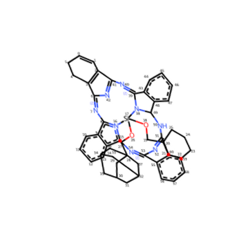 C1=CC2=C(CC1)/C1=N/c3c4ccccc4c4n3[Si](OCC3CCCCC3)(OCC35CC6CC(CC(C6)C3)C5)N3/C(=N\C2=N1)c1ccccc1C3NC1=N/C(=N\4)c2ccccc21